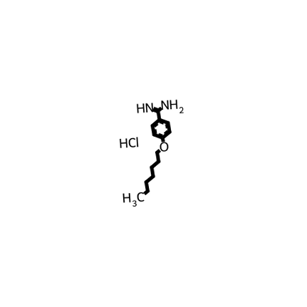 CCCCCCCOc1ccc(C(=N)N)cc1.Cl